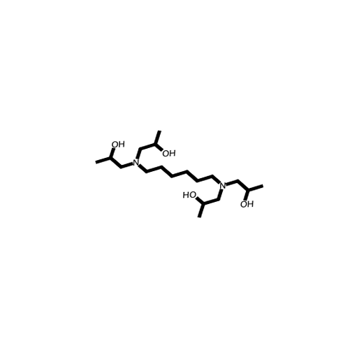 CC(O)CN(CCCCCCN(CC(C)O)CC(C)O)CC(C)O